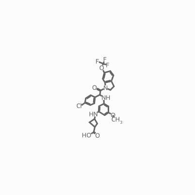 COc1cc(NC2CC(C(=O)O)C2)cc(NC(C(=O)N2CCc3ccc(OC(F)(F)F)cc32)c2ccc(Cl)cc2)c1